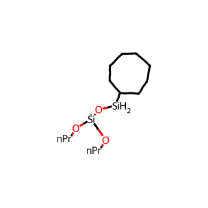 CCCO[Si](OCCC)O[SiH2]C1CCCCCCC1